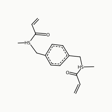 C=CC(=O)[SH](C)Cc1ccc(C[SH](C)C(=O)C=C)cc1